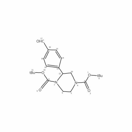 CC(C)(C)OC(=O)N1CCN(C(=O)OC(C)(C)C)C(c2ccc(C=O)cc2)C1